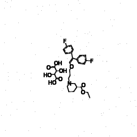 CCOC(=O)[C@@H]1CCCN(CCCOC=C(c2ccc(F)cc2)c2ccc(F)cc2)C1.O=C(O)C(O)C(O)C(=O)O